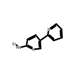 CCNc1ccc(-c2ccccn2)cn1